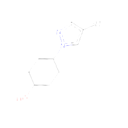 [2H]c1cnn(C2CCC(O)CC2)c1